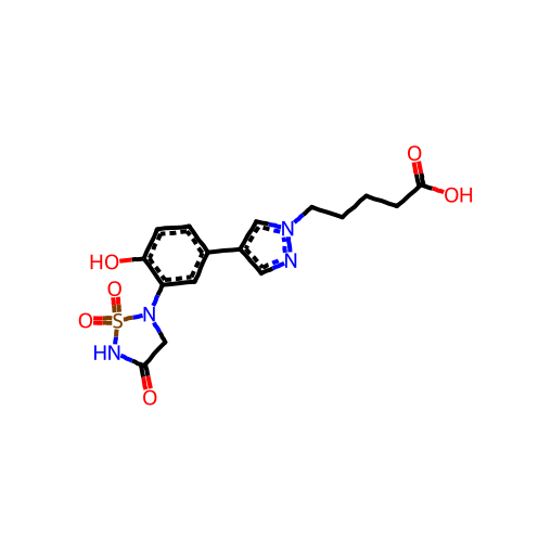 O=C(O)CCCCn1cc(-c2ccc(O)c(N3CC(=O)NS3(=O)=O)c2)cn1